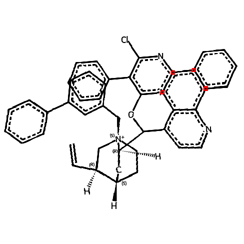 C=C[C@H]1C[N@+]2(Cc3cccc(-c4ccccc4)c3)CC[C@H]1C[C@@H]2C(Oc1nc(-c2ccccc2)nc(Cl)c1-c1ccccc1)c1ccnc2ccccc12